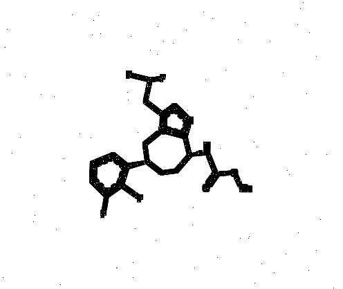 CC(C)(C)OC(=O)N[C@@H]1CC[C@@H](c2cccc(F)c2F)Cn2c(CC(F)F)cnc21